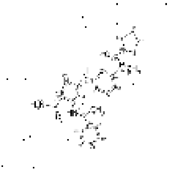 CC(Nc1nc(Nc2cccc(N(C)C(=O)N3CCCC3)c2)ncc1C(N)=O)c1ccccc1